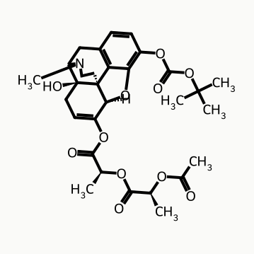 CC(=O)O[C@@H](C)C(=O)O[C@@H](C)C(=O)OC1=CC[C@]2(O)C3Cc4ccc(OC(=O)OC(C)(C)C)c5c4[C@@]2(CCN3C)[C@H]1O5